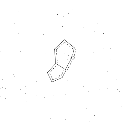 [c]1ccc2occcc1-2